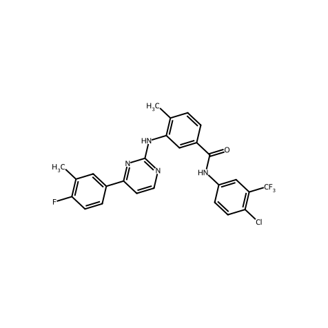 Cc1cc(-c2ccnc(Nc3cc(C(=O)Nc4ccc(Cl)c(C(F)(F)F)c4)ccc3C)n2)ccc1F